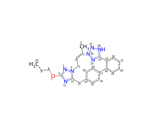 CC=CCn1nc(OCCC)nc1Cc1ccc(-c2ccccc2-c2nnn[nH]2)cc1